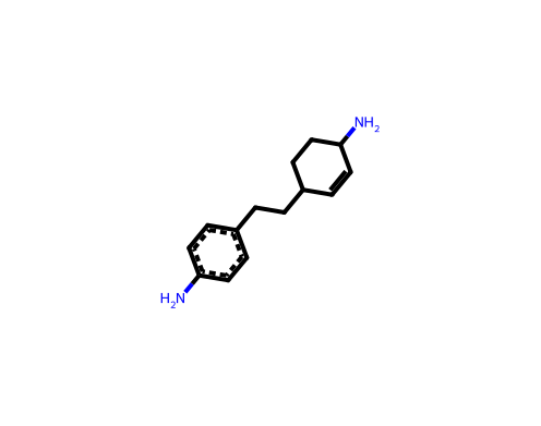 Nc1ccc(CCC2C=CC(N)CC2)cc1